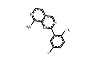 Cc1ccc(Br)cc1-c1ncc2ccnc(N)c2n1